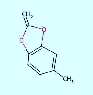 C=C1Oc2ccc(C)cc2O1